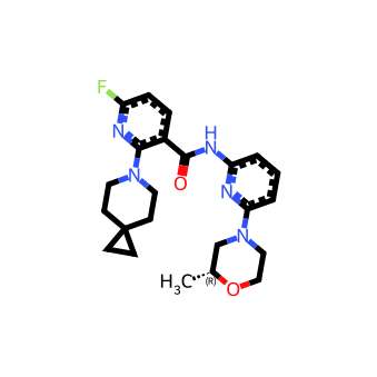 C[C@@H]1CN(c2cccc(NC(=O)c3ccc(F)nc3N3CCC4(CC3)CC4)n2)CCO1